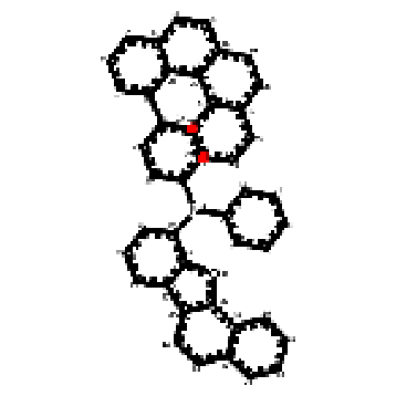 c1ccc(N(c2ccc(-c3cccc4ccc5ccc6ccccc6c5c34)cc2)c2cccc3c2oc2c4ccccc4ccc32)cc1